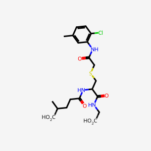 Cc1ccc(Cl)c(NC(=O)CSCC(NC(=O)CCC(C)C(=O)O)C(=O)NCC(=O)O)c1